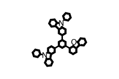 c1ccc(-n2c3ccccc3c3cc(-c4cc(-c5ccc6c(c5)c5ccccc5n6-c5ccccc5)cc(-c5cccc6c5oc5ccccc56)c4)ccc32)cc1